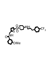 COc1cccc(C(=O)NCc2ccc(S(=O)(=O)N3CCC(NCCCc4ccc(C(F)(F)F)cc4)CC3)s2)c1